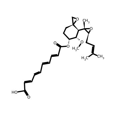 CO[C@@H]1[C@H](OC(=O)/C=C/C=C/C=C/C=C/C(=O)O)CC[C@]2(CO2)[C@H]1[C@]1(C)O[C@H]1CC=C(C)C